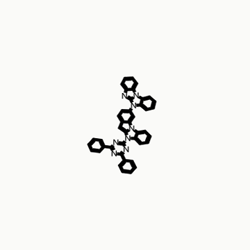 c1ccc(-c2nc(-c3ccccc3)nc(-n3c4ccccc4n4c5cc(-n6c7ccccc7n7c8ccccc8nc67)ccc5cc34)n2)cc1